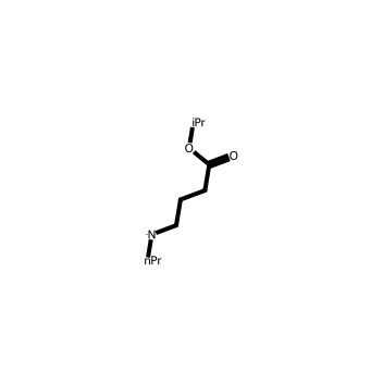 CCC[N]CCCC(=O)OC(C)C